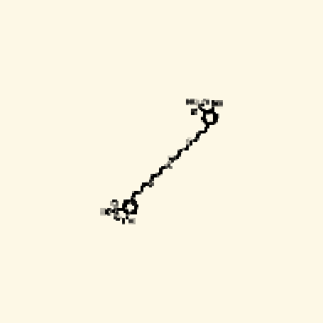 O=S(=O)(O)c1cc(CCCSCCCSSCCCSCCCc2ccc(O)c(S(=O)(=O)O)c2)ccc1O